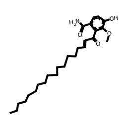 CCCCCCCCCCCCCCCC=CC(=O)c1c(C(N)=O)ccc(O)c1OC